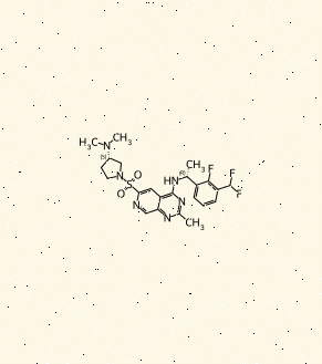 Cc1nc(N[C@H](C)c2cccc(C(F)F)c2F)c2cc(S(=O)(=O)N3CC[C@H](N(C)C)C3)ncc2n1